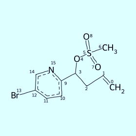 C=CCC(OS(C)(=O)=O)c1ccc(Br)cn1